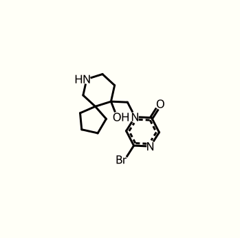 O=c1cnc(Br)cn1CC1(O)CCNCC12CCCC2